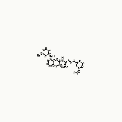 CCOC1CN(CC=CC(=O)Nc2cc3c(Nc4cccc(Br)c4)ncnc3cc2OC)CCO1